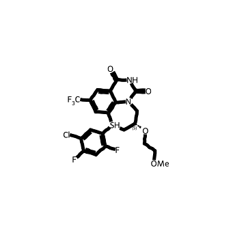 COCCO[C@H]1Cn2c(=O)[nH]c(=O)c3cc(C(F)(F)F)cc(c32)[SH](c2cc(Cl)c(F)cc2F)C1